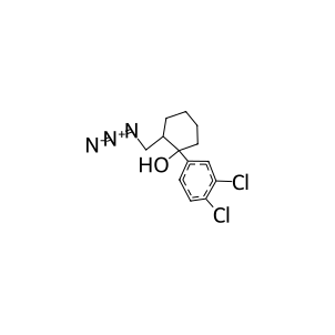 [N-]=[N+]=NCC1CCCCC1(O)c1ccc(Cl)c(Cl)c1